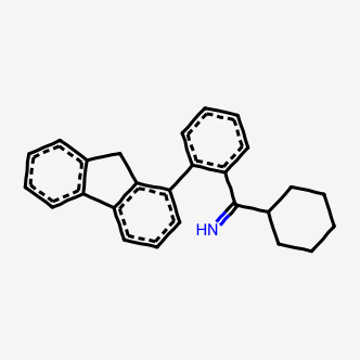 N=C(c1ccccc1-c1cccc2c1Cc1ccccc1-2)C1CCCCC1